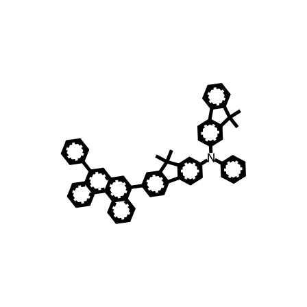 CC1(C)c2ccccc2-c2ccc(N(c3ccccc3)c3ccc4c(c3)C(C)(C)c3cc(-c5cc6cc(-c7ccccc7)c7ccccc7c6c6ccccc56)ccc3-4)cc21